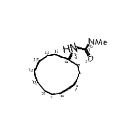 CNC(=O)NC1CCCCCCCCCCC1